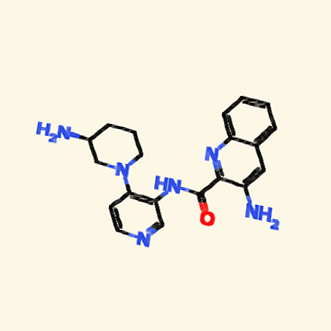 Nc1cc2ccccc2nc1C(=O)Nc1cnccc1N1CCC[C@H](N)C1